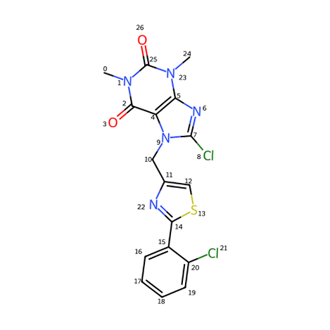 Cn1c(=O)c2c(nc(Cl)n2Cc2csc(-c3ccccc3Cl)n2)n(C)c1=O